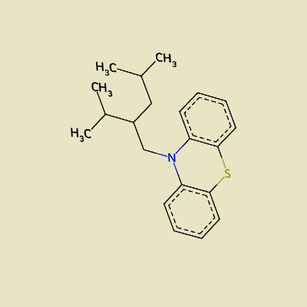 CC(C)CC(CN1c2ccccc2Sc2ccccc21)C(C)C